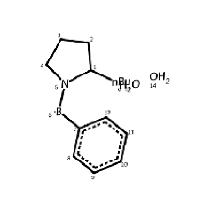 CCCCC1CCCN1[B]c1ccccc1.O.O